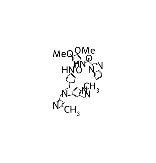 COc1cc(NC(=O)c2cnc3ccccc3n2)c(C(=O)Nc2ccc(CCN(Cc3cncc(C)c3)Cc3ccc4c(cnn4C)c3)cc2)cc1OC